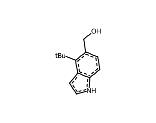 CC(C)(C)c1c(CO)ccc2[nH]ccc12